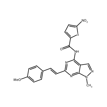 COc1ccc(C=Cc2nc(NC(=O)c3ccc([N+](=O)[O-])s3)c3cnn(C)c3n2)cc1